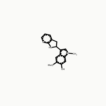 COc1cc2c(C3Cc4cccnc4N3)cn(C)c2cc1O